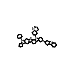 c1ccc(-n2c3ccccc3c3cc4c(cc32)sc2c4ccc3c4cc(-c5ccc6c(c5)sc5ccccc56)ccc4n(-c4ccc5ncccc5c4)c32)cc1